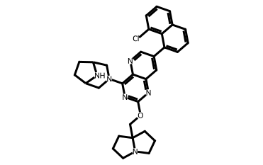 Clc1cccc2cccc(-c3cnc4c(N5CC6CCC(C5)N6)nc(OCC56CCCN5CCC6)nc4c3)c12